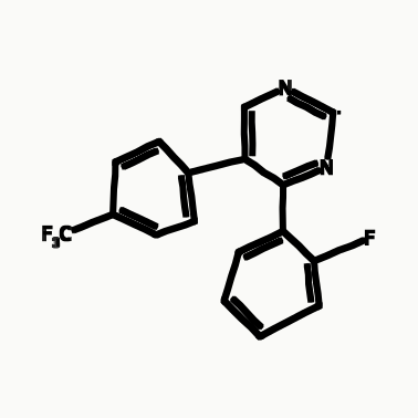 Fc1ccccc1-c1n[c]ncc1-c1ccc(C(F)(F)F)cc1